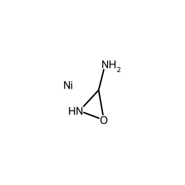 NC1NO1.[Ni]